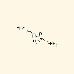 NCCCC[C@H](N)C(=O)NCCCCCC=O